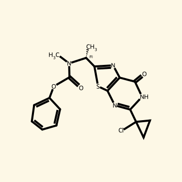 C[C@H](c1nc2c(=O)[nH]c(C3(Cl)CC3)nc2s1)N(C)C(=O)Oc1ccccc1